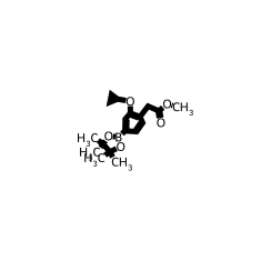 COC(=O)Cc1ccc(B2OC(C)(C)C(C)(C)O2)cc1OC1CC1